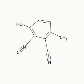 [C-]#[N+]c1c(O)ccc(C)c1C#N